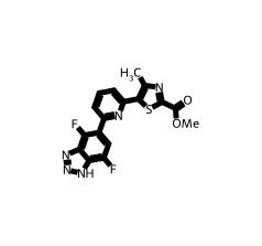 COC(=O)c1nc(C)c(-c2cccc(-c3cc(F)c4[nH]nnc4c3F)n2)s1